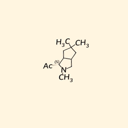 CC(=O)[C@@H]1C2CC(C)(C)CC2CN1C